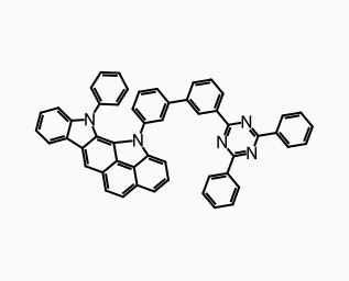 c1ccc(-c2nc(-c3ccccc3)nc(-c3cccc(-c4cccc(-n5c6cccc7ccc8cc9c%10ccccc%10n(-c%10ccccc%10)c9c5c8c76)c4)c3)n2)cc1